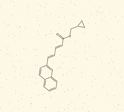 O=C(C=CC=Cc1ccc2ccccc2c1)OCC1CC1